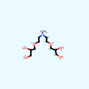 CN(CCOCC(O)CO)CCOCC(O)CO